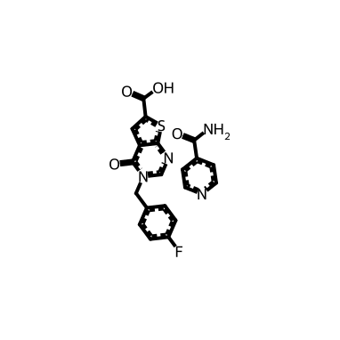 NC(=O)c1ccncc1.O=C(O)c1cc2c(=O)n(Cc3ccc(F)cc3)cnc2s1